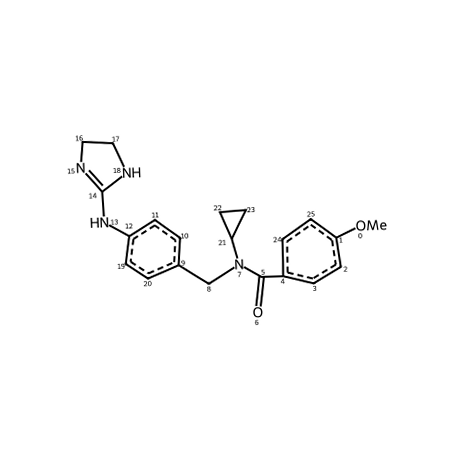 COc1ccc(C(=O)N(Cc2ccc(NC3=NCCN3)cc2)C2CC2)cc1